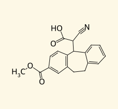 COC(=O)c1ccc2c(c1)CCc1ccccc1C2C(C#N)C(=O)O